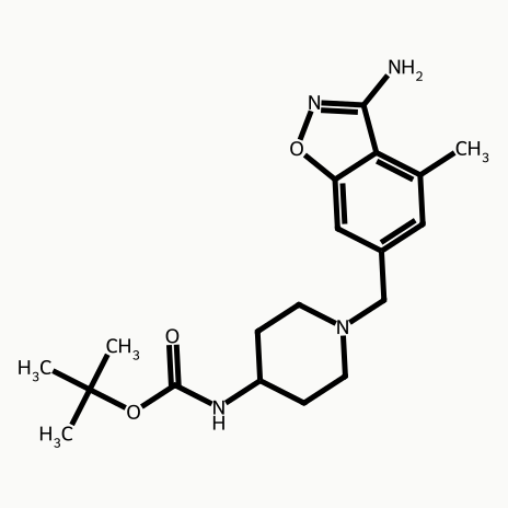 Cc1cc(CN2CCC(NC(=O)OC(C)(C)C)CC2)cc2onc(N)c12